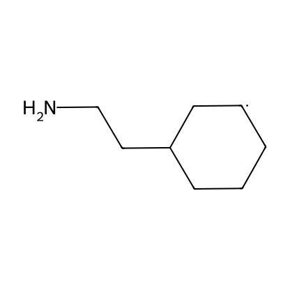 NCCC1C[CH]CCC1